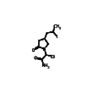 CCC(C(N)=O)N1CC(CC(C)I)CC1=O